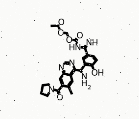 CC(=O)OCOC(=O)NC(=N)c1ccc(O)c(C(N)c2ncnc3cc(C(=O)N4CCCC4)c(C)cc23)c1